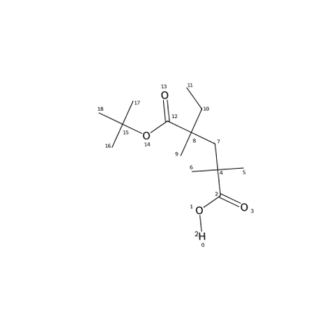 [2H]OC(=O)C(C)(C)CC(C)(CC)C(=O)OC(C)(C)C